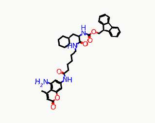 Cc1cc(=O)oc2cc(NC(=O)CCCCCNC(=O)C(CC3CCCCC3)NC(=O)OCC3c4ccccc4-c4ccccc43)cc(N)c12